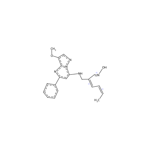 C\C=C/C=C(\C=N\O)CNc1cc(-c2ccccc2)nc2c(OC)cnn12